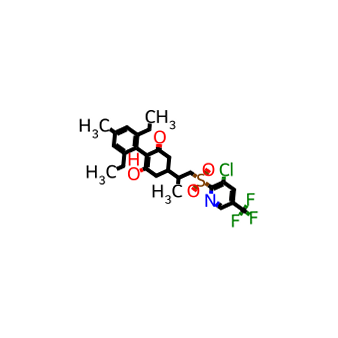 CCc1cc(C)cc(CC)c1C1=C(O)CC(C(C)CS(=O)(=O)c2ncc(C(F)(F)F)cc2Cl)CC1=O